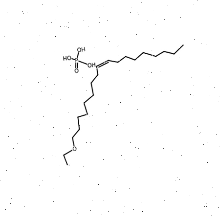 O=P(O)(O)O.[CH2]COCCCCCCCC/C=C\CCCCCCCC